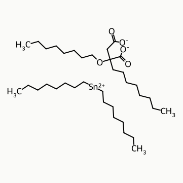 CCCCCCCCOC(CCCCCCCC)(CC(=O)[O-])C(=O)[O-].CCCCCCC[CH2][Sn+2][CH2]CCCCCCC